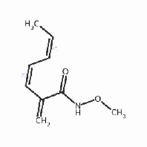 C=C(/C=C\C=C/C)C(=O)NOC